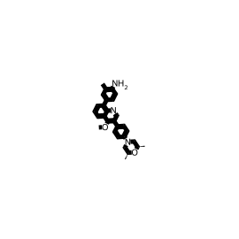 COc1c(-c2ccc(N3C[C@@H](C)O[C@@H](C)C3)cc2)cnc2c(-c3ccc(N)c(C)c3)cccc12